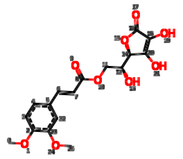 COc1ccc(C=CC(=O)OC[C@H](O)[C@H]2OC(=O)C(O)=C2O)cc1OC